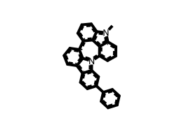 Cn1c2cccc3c4cccc5c6ccc(-c7ccccc7)cc6n(c6cccc1c6c32)c45